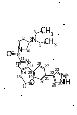 CCN(CC)[C@@H]1CCN(C(=O)c2nc3c(s2)CCOc2cc(-c4cn[nH]c4)ccc2-3)C1